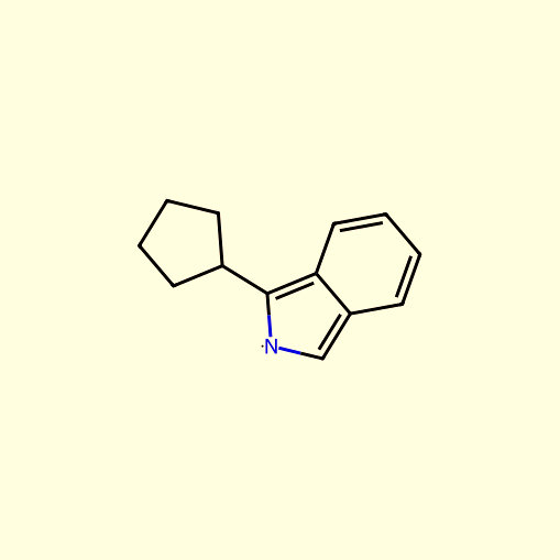 C1=c2ccccc2=C(C2CCCC2)[N]1